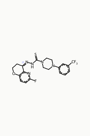 Fc1ccc2c(n1)/C(=N\NC(=S)N1CCN(c3cccc(C(F)(F)F)c3)CC1)CCO2